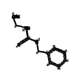 CC(=O)OCNC(=O)OCc1ccccc1